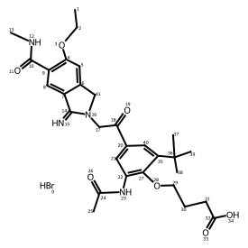 Br.CCOc1cc2c(cc1C(=O)NC)C(=N)N(CC(=O)c1cc(NC(C)=O)c(OCCCC(=O)O)c(C(C)(C)C)c1)C2